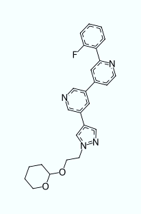 Fc1ccccc1-c1cc(-c2cncc(-c3cnn(CCOC4CCCCO4)c3)c2)ccn1